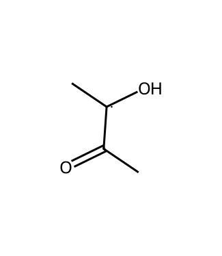 C[C](O)C(C)=O